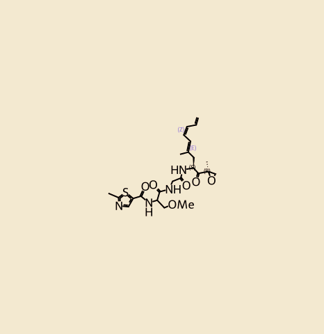 C=C/C=C\C=C(/C)C[C@H](NC(=O)CNC(=O)C(COC)NC(=O)c1cnc(C)s1)C(=O)[C@@]1(C)CO1